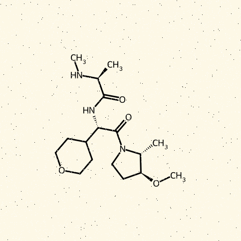 CN[C@@H](C)C(=O)N[C@H](C(=O)N1CC[C@H](OC)[C@H]1C)C1CCOCC1